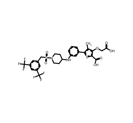 Cc1c(-c2cccc(NC3CCN(S(=O)(=O)Cc4cc(C(F)(F)F)cc(C(F)(F)F)c4)CC3)c2)sc(C(=O)O)c1OCC(=O)O